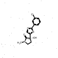 CN1CC[C@](O)(c2coc(-c3cccc(Cl)c3)n2)C1=O